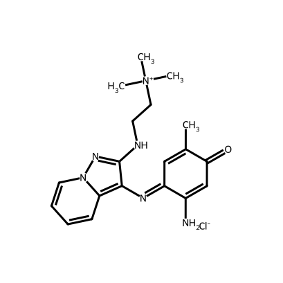 CC1=CC(=Nc2c(NCC[N+](C)(C)C)nn3ccccc23)C(N)=CC1=O.[Cl-]